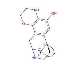 Oc1cc2c(c3c1NCCO3)CC1NCC[C@]23CCCC[C@H]13